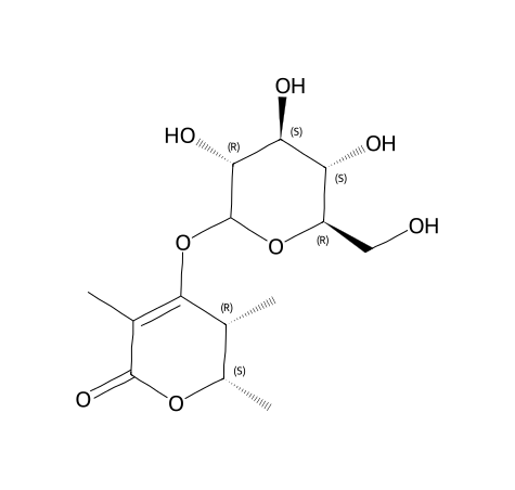 CC1=C(OC2O[C@H](CO)[C@@H](O)[C@H](O)[C@H]2O)[C@H](C)[C@H](C)OC1=O